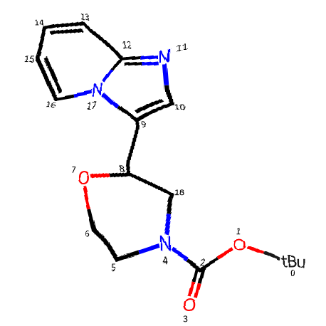 CC(C)(C)OC(=O)N1CCOC(c2cnc3ccccn23)C1